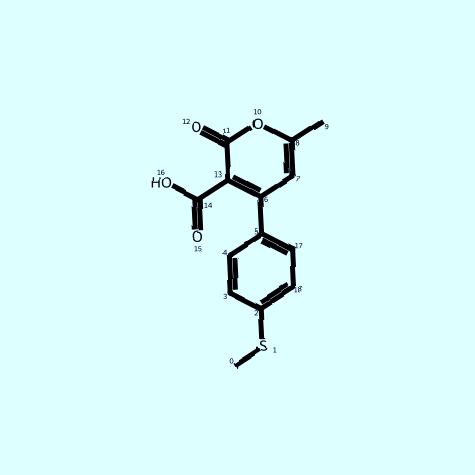 CSc1ccc(-c2cc(C)oc(=O)c2C(=O)O)cc1